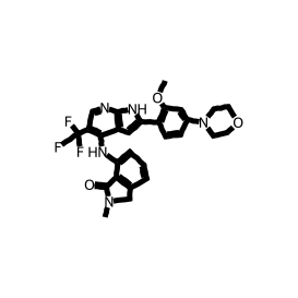 COc1cc(N2CCOCC2)ccc1-c1cc2c(Nc3cccc4c3C(=O)N(C)C4)c(C(F)(F)F)cnc2[nH]1